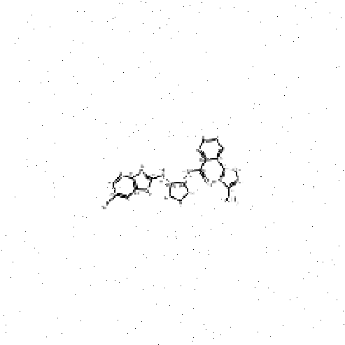 Cc1noc(-c2ccccc2C(=O)N[C@@H]2CCC[C@@H]2Nc2nc3ccc(F)cc3s2)n1